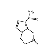 CN1CCn2cnc(C(N)=O)c2C1